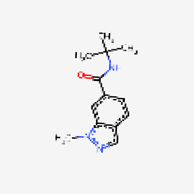 Cn1ncc2ccc(C(=O)NC(C)(C)C)cc21